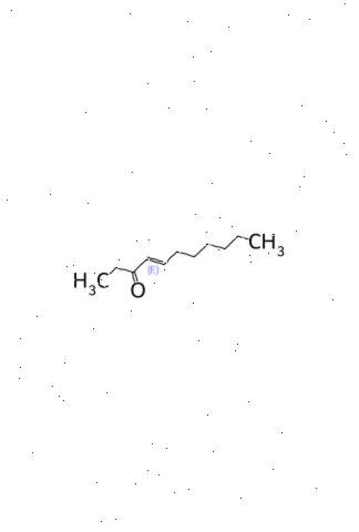 CCCCCC/C=C/C(=O)CC